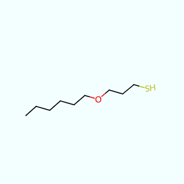 CCCCCCOCCCS